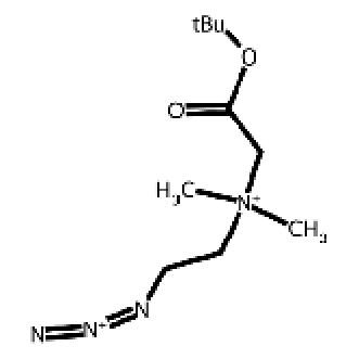 CC(C)(C)OC(=O)C[N+](C)(C)CCN=[N+]=[N-]